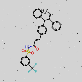 CC=C(c1ccccc1)C(c1ccccc1)c1ccc(C=CC(=O)NS(=O)(=O)c2cccc(C(F)(F)F)c2)cc1